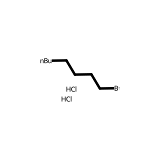 Cl.Cl.[B]CCCCCCCC